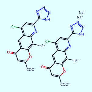 CCCc1c2nc(-c3nnn[nH]3)cc(Cl)c2cc2c(=O)cc(C(=O)[O-])oc12.CCCc1c2nc(-c3nnn[nH]3)cc(Cl)c2cc2c(=O)cc(C(=O)[O-])oc12.[Na+].[Na+]